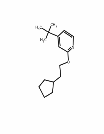 CC(C)(C)c1ccnc(OCCC2CCCC2)c1